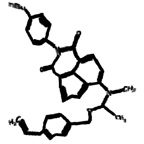 C=Cc1ccc(COC(C)N(C)c2ccc3c4c(cccc24)C(=O)N(c2ccc(CCCC)cc2)C3=O)cc1